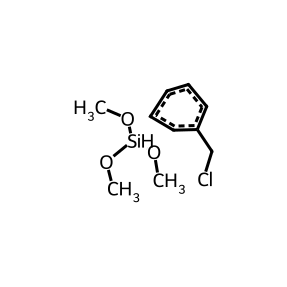 CO[SiH](OC)OC.ClCc1ccccc1